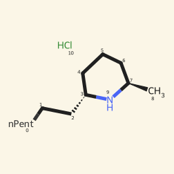 CCCCCCC[C@@H]1CCC[C@@H](C)N1.Cl